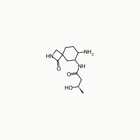 C[C@@H](O)CC(=O)NC1CC2(CCC1N)CNC2=O